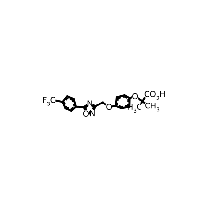 CC(C)(Oc1ccc(OCc2noc(-c3ccc(C(F)(F)F)cc3)n2)cc1)C(=O)O